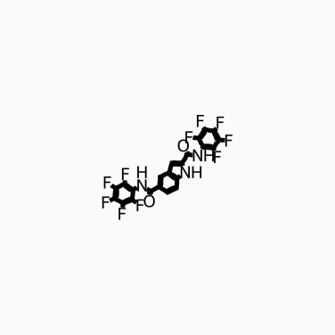 O=C(Nc1c(F)c(F)c(F)c(F)c1F)c1ccc2[nH]c(C(=O)Nc3c(F)c(F)c(F)c(F)c3F)cc2c1